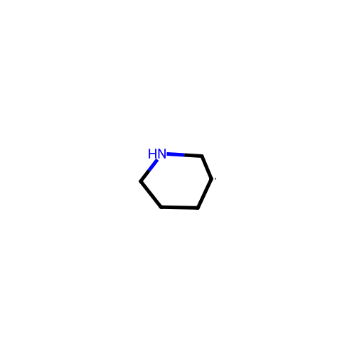 [CH]1CCCNC1